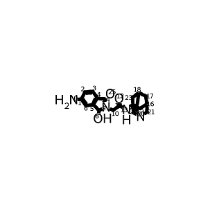 Nc1ccc2c(c1)C(O)N(CC(=O)NC13CC4CC(CN(C4)C1)C3)C2=O